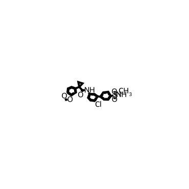 CNS(=O)(=O)c1ccc(-c2cc(NC(=O)C3(c4ccc5c(c4)OCO5)CC3)ccc2Cl)cc1